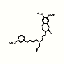 C=CCN(CCCOc1cccc(OC)c1)CCCC1CCc2cc(OC)c(OC)cc2CC1=O